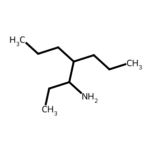 CCCC(CCC)C(N)CC